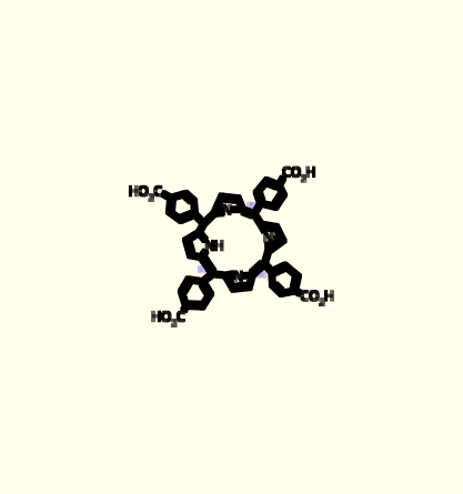 O=C(O)c1ccc(/C2=C3\C=CC(N3)C(c3ccc(C(=O)O)cc3)C3=N/C(=C(/c4ccc(C(=O)O)cc4)c4ccc([nH]4)/C(c4ccc(C(=O)O)cc4)=C4/C=CC2=N4)C=C3)cc1